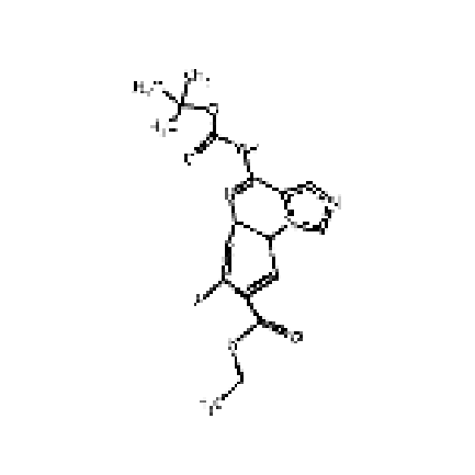 CCOC(=O)C1=CC2C(C=C1F)N=C(NC(=O)OC(C)(C)C)c1cncn12